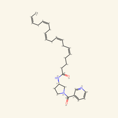 CC/C=C\C/C=C\C/C=C\C/C=C\C/C=C\CCCC(=O)N[C@@H]1CCN(C(=O)c2cccnc2)C1